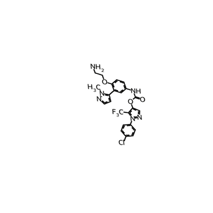 Cn1nccc1-c1cc(NC(=O)Oc2cnn(-c3ccc(Cl)cc3)c2C(F)(F)F)ccc1OCCN